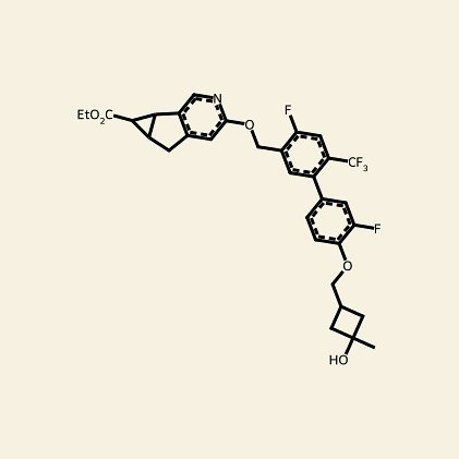 CCOC(=O)C1C2Cc3cc(OCc4cc(-c5ccc(OCC6CC(C)(O)C6)c(F)c5)c(C(F)(F)F)cc4F)ncc3C21